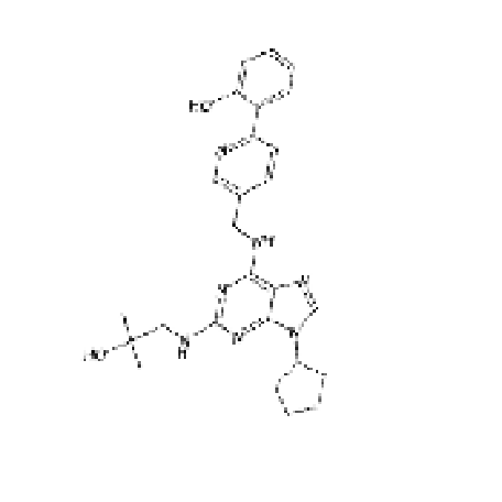 CC(C)(O)CNc1nc(NCc2ccc(-c3ccccc3O)nc2)c2ncn(C3CCCC3)c2n1